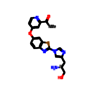 CNC(=O)c1cc(Oc2ccc3nc(-n4cnc(C[C@@H](N)CO)c4)sc3c2)ccn1